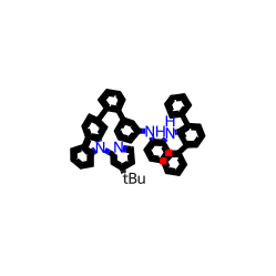 CC(C)(C)c1ccnc(-n2c3ccccc3c3ccc(-c4ccccc4-c4cccc(Nc5ccccc5Nc5c(-c6ccccc6)cccc5-c5ccccc5)c4)cc32)c1